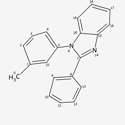 Cc1cccc(-n2c(-c3ccccc3)nc3ccccc32)c1